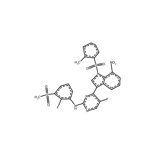 Cc1ccccc1S(=O)(=O)n1cc(-c2nc(Nc3cccc(S(C)(=O)=O)c3F)ncc2F)c2cccc([N+](=O)[O-])c21